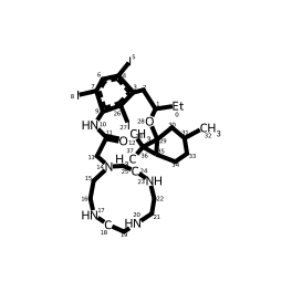 CCC(Cc1c(I)cc(I)c(NC(=O)CN2CCNCCNCCNCC2)c1I)OC12CC(C)CCC1C2(C)C